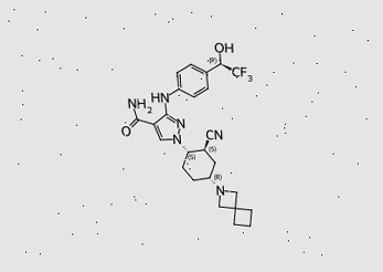 N#C[C@H]1C[C@H](N2CC3(CCC3)C2)CC[C@@H]1n1cc(C(N)=O)c(Nc2ccc([C@@H](O)C(F)(F)F)cc2)n1